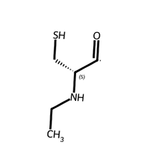 CCN[C@@H]([C]=O)CS